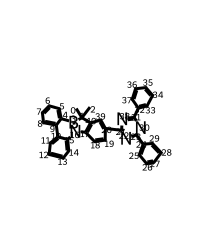 CC1(C)B2c3ccccc3-c3ccccc3N2c2ccc(-c3nc(-c4ccccc4)nc(-c4ccccc4)n3)cc21